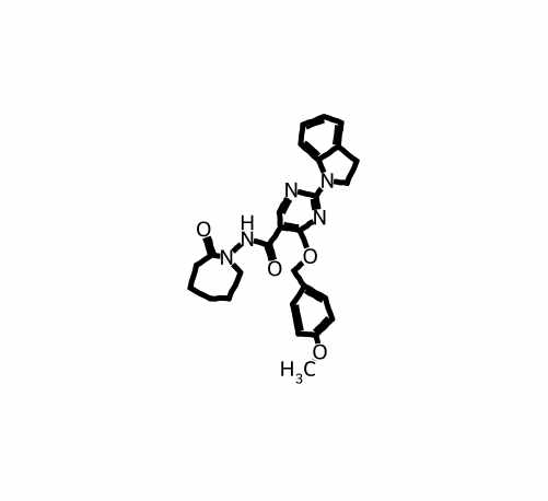 COc1ccc(COc2nc(N3CCc4ccccc43)ncc2C(=O)NN2CCCCCC2=O)cc1